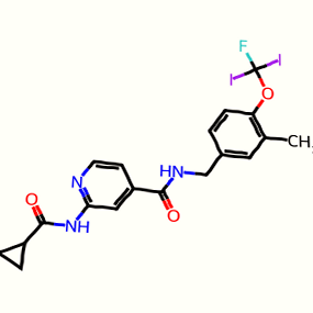 Cc1cc(CNC(=O)c2ccnc(NC(=O)C3CC3)c2)ccc1OC(F)(I)I